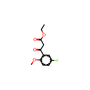 CCOC(=O)CC(=O)c1cc(F)ccc1OC